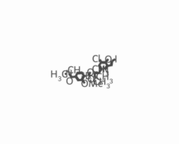 COc1cc(C(=O)N(C)C)ccc1B1OC(C)(C)C(C)(Cc2cc(Cl)c3oc(I)cc3n2)O1